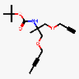 C#CCOCC(C)(COCC#CC)NC(=O)OC(C)(C)C